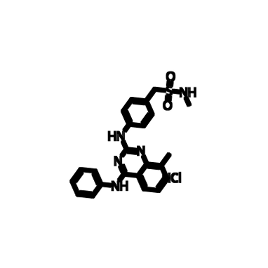 CNS(=O)(=O)Cc1ccc(Nc2nc(Nc3ccccc3)c3cccc(C)c3n2)cc1.Cl